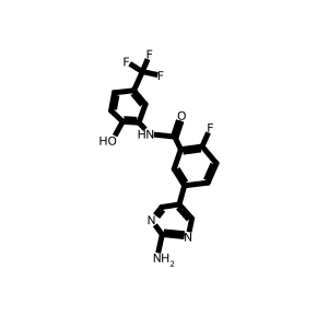 Nc1ncc(-c2ccc(F)c(C(=O)Nc3cc(C(F)(F)F)ccc3O)c2)cn1